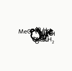 C=C[C@@H]1C[C@]1(NC(=O)[C@@H]1C[C@@H]2CN1C(=O)[C@H](C(C)(C)C)NC(=O)OCCC/C=C/c1cc(ccc1OC)-n1nnc2n1)C(=O)NS(=O)(=O)C1CC1